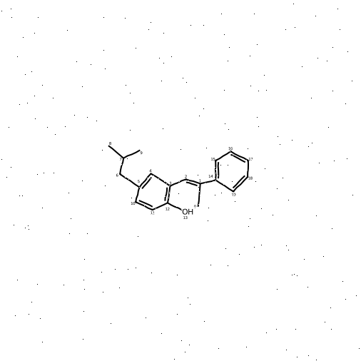 CC(=Cc1cc(CC(C)C)ccc1O)c1ccccc1